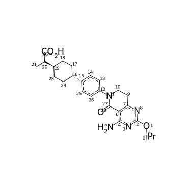 CC(C)Oc1nc(N)c2c(n1)CCN(c1ccc([C@H]3CC[C@H](C(C)C(=O)O)CC3)cc1)C2=O